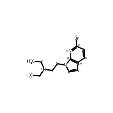 CCN(CC)CCn1ccc2ccc(Br)nc21